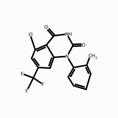 Cc1ccccc1-n1c(=O)[nH]c(=O)c2c(Cl)cc(C(F)(F)F)cc21